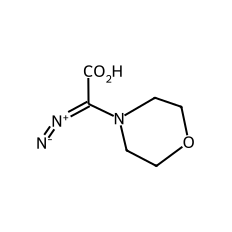 [N-]=[N+]=C(C(=O)O)N1CCOCC1